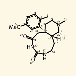 COc1ccc(C)c([C@]23CCN(C)[C@H](C)[C@@H]2CCNC(=O)NC(=O)C3)c1